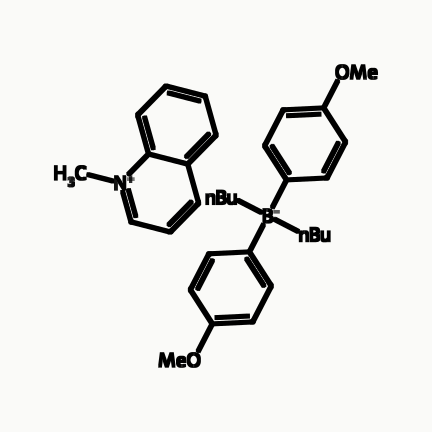 CCCC[B-](CCCC)(c1ccc(OC)cc1)c1ccc(OC)cc1.C[n+]1cccc2ccccc21